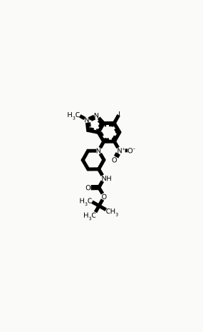 Cn1cc2c(N3CCCC(NC(=O)OC(C)(C)C)C3)c([N+](=O)[O-])cc(I)c2n1